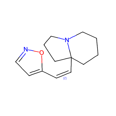 C(=C/C12CCCCN1CCC2)/c1ccno1